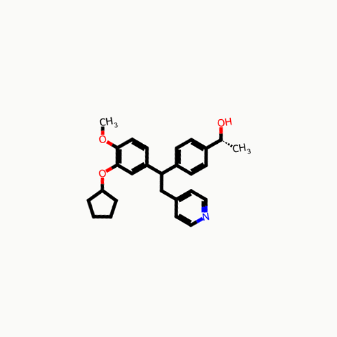 COc1ccc(C(Cc2ccncc2)c2ccc([C@@H](C)O)cc2)cc1OC1CCCC1